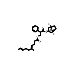 C/C=C/CC/C(C)=C/CCC(=O)OCC(C(=O)O[C@H]1C[C@H]2CC[C@@H](C1)N2C)c1ccccc1